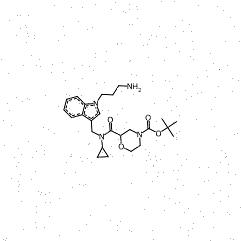 CC(C)(C)OC(=O)N1CCOC(C(=O)N(Cc2cn(CCCN)c3ccccc23)C2CC2)C1